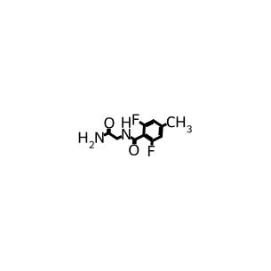 Cc1cc(F)c(C(=O)NCC(N)=O)c(F)c1